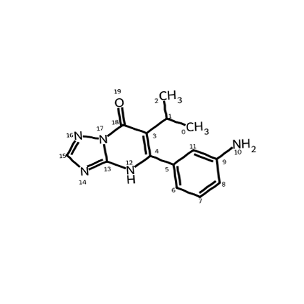 CC(C)c1c(-c2cccc(N)c2)[nH]c2ncnn2c1=O